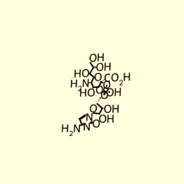 Nc1ccn([C@@H]2O[C@H](COP(=O)(O)O[C@@]3(C(=O)O)CC(O)[C@@H](N)C([C@H](O)[C@H](O)CO)O3)[C@H](O)[C@@H]2O)c(=O)n1